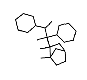 CC(C1CCCCC1)C(C)(C1CCCCC1)C1(C)CC2CCC1(C)C2